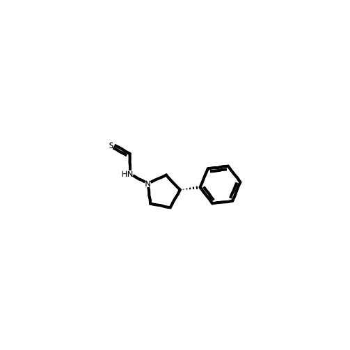 S=CNN1CC[C@@H](c2ccccc2)C1